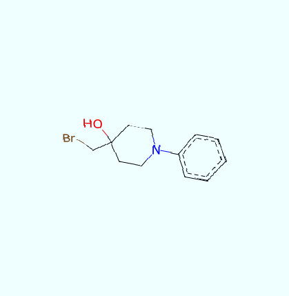 OC1(CBr)CCN(c2ccccc2)CC1